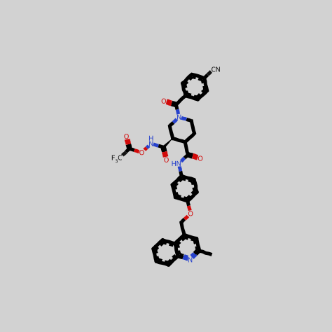 Cc1cc(COc2ccc(NC(=O)C3CCN(C(=O)c4ccc(C#N)cc4)C[C@@H]3C(=O)NOC(=O)C(F)(F)F)cc2)c2ccccc2n1